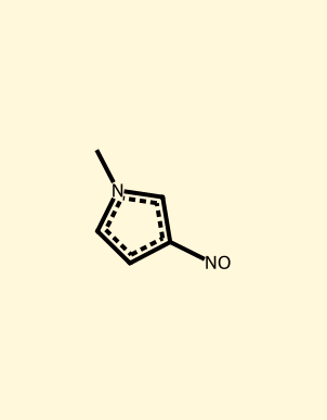 Cn1ccc(N=O)c1